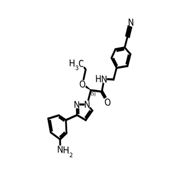 CCO[C@@H](C(=O)NCc1ccc(C#N)cc1)n1ccc(-c2cccc(N)c2)n1